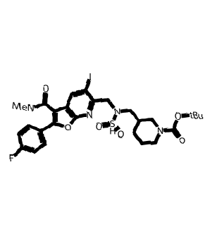 CNC(=O)c1c(-c2ccc(F)cc2)oc2nc(CN(CC3CCCN(C(=O)OC(C)(C)C)C3)[SH](=O)=O)c(I)cc12